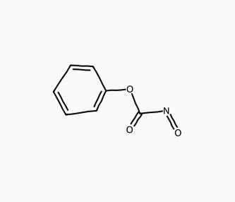 O=NC(=O)Oc1ccccc1